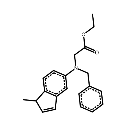 CCOC(=O)CN(Cc1ccccc1)c1ccc2c(c1)C=CC2C